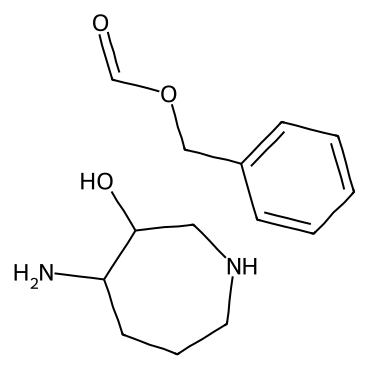 NC1CCCNCC1O.O=COCc1ccccc1